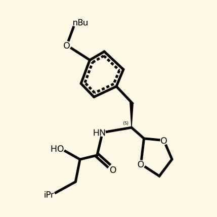 CCCCOc1ccc(C[C@H](NC(=O)C(O)CC(C)C)C2OCCO2)cc1